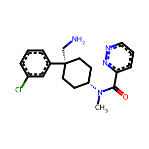 CN(C(=O)c1cccnn1)[C@H]1CC[C@](CN)(c2cccc(Cl)c2)CC1